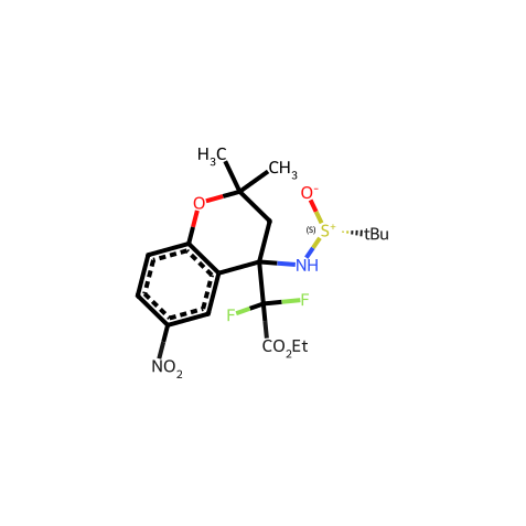 CCOC(=O)C(F)(F)C1(N[S@+]([O-])C(C)(C)C)CC(C)(C)Oc2ccc([N+](=O)[O-])cc21